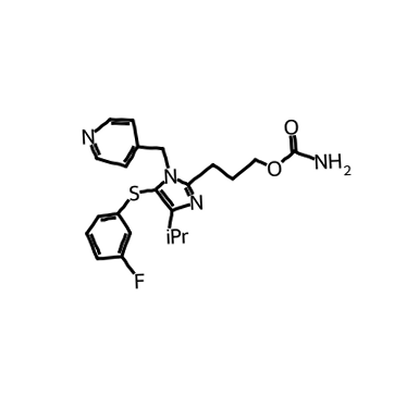 CC(C)c1nc(CCCOC(N)=O)n(Cc2ccncc2)c1Sc1cccc(F)c1